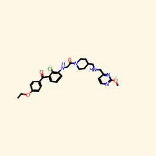 CCOc1ccc(C(=O)c2cccc(NCC(=O)N3CCC(CNCc4ccnc(OC)n4)CC3)c2Cl)cc1